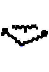 NCCNCCN.O=C(O)CCCCCCC/C=C\CCCCCCCCN1C=NCC1